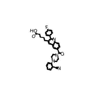 N#Cc1ccccc1N1CCN(C(=O)c2ccc3nc(-c4ccc(F)cc4)c(CCCCC(=O)O)cc3c2)CC1